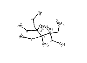 NCC(O)(CO)C(N)(CO)C(O)(CO)CO